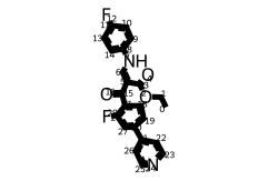 CCOC(=O)C(=CNc1ccc(F)cc1)C(=O)c1ccc(-c2ccncc2)cc1F